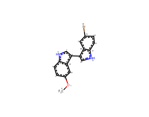 FC(F)(F)Oc1ccc2[nH]cc(-c3c[nH]c4ccc(Br)cc34)c2c1